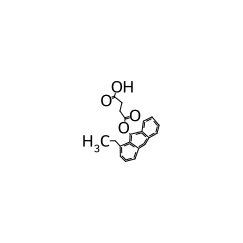 CCc1cccc2cc3ccccc3c(OC(=O)CCC(=O)O)c12